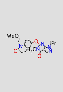 COCCN1C(=O)CCc2cc(Oc3nc4c(cnn4C(C)C)c(=O)n3C)ccc21